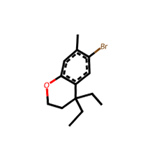 CCC1(CC)CCOc2cc(C)c(Br)cc21